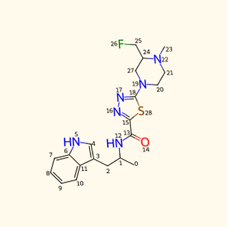 CC(Cc1c[nH]c2ccccc12)NC(=O)c1nnc(N2CCN(C)C(CF)C2)s1